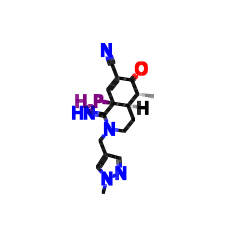 C[C@H]1C(=O)C(C#N)=C[C@@]2(P)C(=N)N(Cc3cnn(C)c3)CC[C@H]12